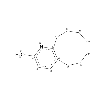 Cc1ccc2c(n1)CCCCCCC2